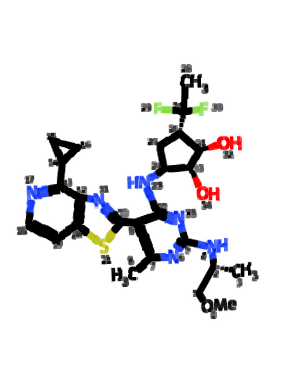 COC[C@@H](C)Nc1nc(C)c(-c2nc3c(C4CC4)nccc3s2)c(NC2C[C@H](C(C)(F)F)[C@@H](O)[C@H]2O)n1